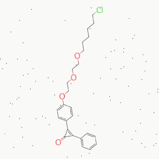 O=c1c(-c2ccccc2)c1-c1ccc(OCCOCCOCCCCCCCl)cc1